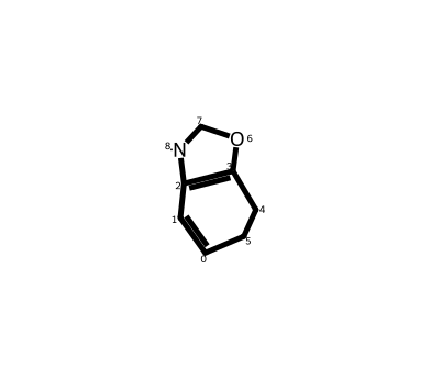 C1=CC2=C(CC1)OC[N]2